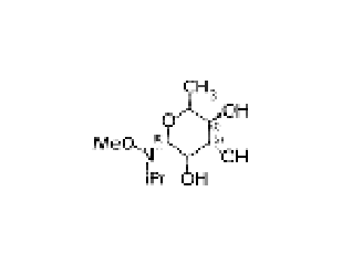 CON(C(C)C)[C@@H]1OC(C)[C@@H](O)[C@H](O)C1O